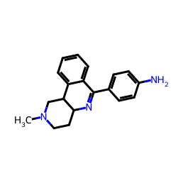 CN1CCC2N=C(c3ccc(N)cc3)c3ccccc3C2C1